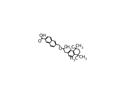 CC1(C)CCC(C)(C)c2cc(CC(=O)OCc3ccc4cc(C(=O)O)ccc4c3)ccc21